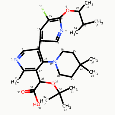 Cc1ncc(-c2cnc(OC(C)C(C)C)c(F)c2)c(N2CCC(C)(C)CC2)c1C(OC(C)(C)C)C(=O)O